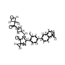 Cc1cc(-c2ccc3c(cnn3C)c2)ccc1C1=NC2(CC2)C(=O)N1CC1CN(C(=O)C2(C)COC2)C1